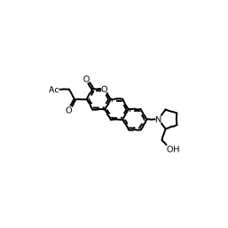 CC(=O)CC(=O)c1cc2cc3ccc(N4CCCC4CO)cc3cc2oc1=O